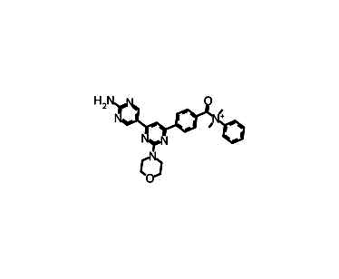 C[N+](C)(C(=O)c1ccc(-c2cc(-c3cnc(N)nc3)nc(N3CCOCC3)n2)cc1)c1ccccc1